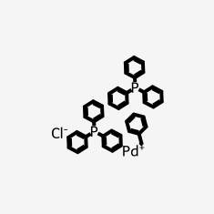 [Cl-].[Pd+][CH2]c1ccccc1.c1ccc(P(c2ccccc2)c2ccccc2)cc1.c1ccc(P(c2ccccc2)c2ccccc2)cc1